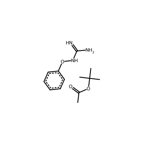 CC(=O)OC(C)(C)C.N=C(N)NOc1ccccc1